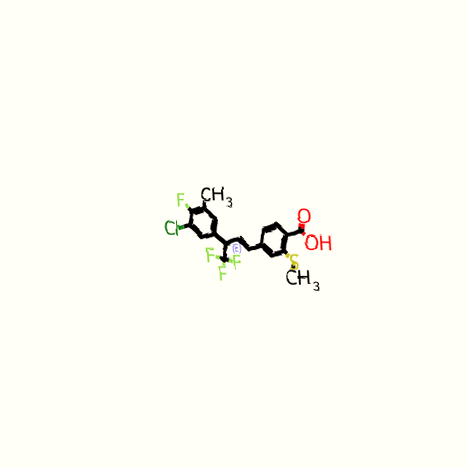 CSc1cc(/C=C/C(c2cc(C)c(F)c(Cl)c2)C(F)(F)F)ccc1C(=O)O